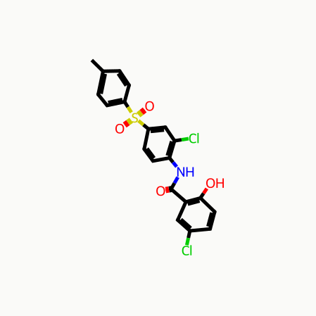 Cc1ccc(S(=O)(=O)c2ccc(NC(=O)c3cc(Cl)ccc3O)c(Cl)c2)cc1